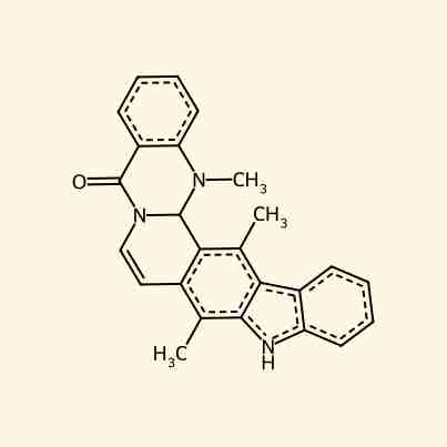 Cc1c2c(c(C)c3c1[nH]c1ccccc13)C1N(C=C2)C(=O)c2ccccc2N1C